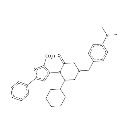 CN(C)c1ccc(CN2CC(=O)N(c3cc(-c4ccccc4)sc3C(=O)O)C(C3CCCCC3)C2)cc1